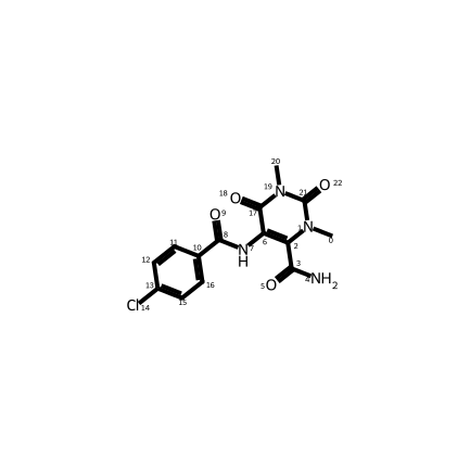 Cn1c(C(N)=O)c(NC(=O)c2ccc(Cl)cc2)c(=O)n(C)c1=O